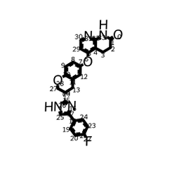 O=C1CCc2c(Oc3ccc4c(c3)C[C@H](c3nc(-c5ccc(F)cc5)c[nH]3)CO4)ccnc2N1